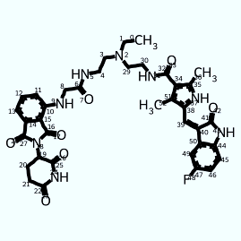 CCN(CCNC(=O)CNc1cccc2c1C(=O)N(C1CCC(=O)NC1=O)C2=O)CCNC(=O)c1c(C)[nH]c(/C=C2\C(=O)Nc3ccc(F)cc32)c1C